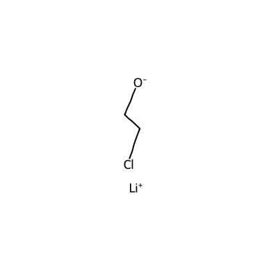 [Li+].[O-]CCCl